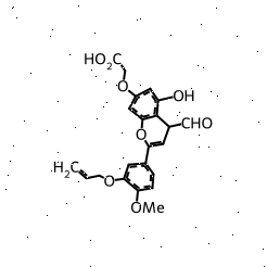 C=CCOc1cc(C2=CC(C=O)c3c(O)cc(OCC(=O)O)cc3O2)ccc1OC